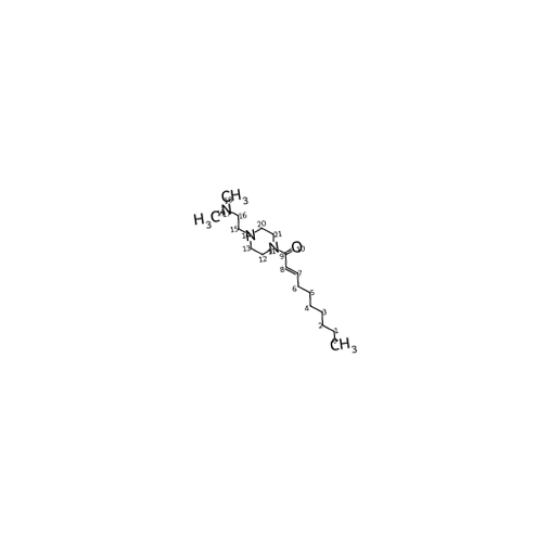 CCCCCCCC=CC(=O)N1CCN(CCN(C)C)CC1